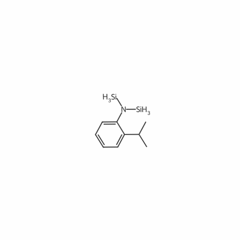 CC(C)c1ccccc1N([SiH3])[SiH3]